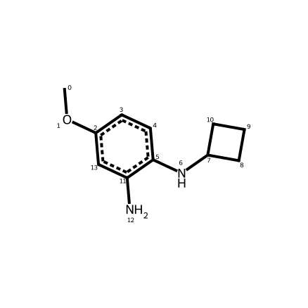 COc1ccc(NC2CCC2)c(N)c1